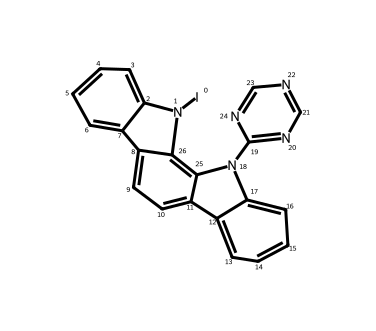 In1c2ccccc2c2ccc3c4ccccc4n(-c4ncncn4)c3c21